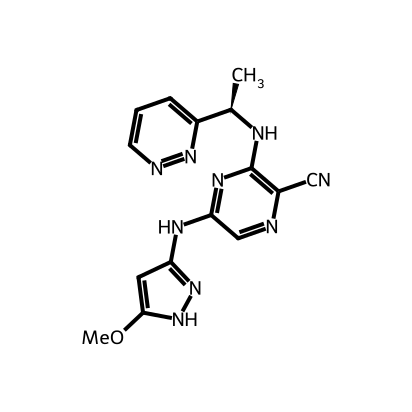 COc1cc(Nc2cnc(C#N)c(N[C@H](C)c3cccnn3)n2)n[nH]1